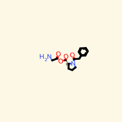 NCC(=O)OC(=O)[C@H]1CCCN1C(=O)Cc1ccccc1